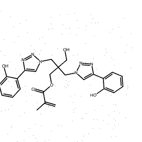 C=C(C)C(=O)OCC(CO)(Cn1cc(-c2ccccc2O)nn1)Cn1cc(-c2ccccc2O)nn1